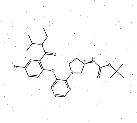 CCN(C(=O)c1cc(F)ccc1Oc1cncnc1N1CC[C@@H](NC(=O)OC(C)(C)C)C1)C(C)C